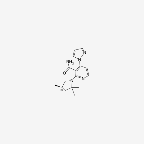 C[C@H]1CN(c2nccc(-n3cccn3)c2C(N)=O)C(C)(C)C1